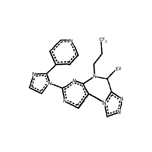 CCC1c2nncn2-c2cnc(-n3ccnc3-c3ccncc3)nc2N1CCC(F)(F)F